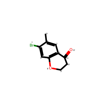 Cc1cc2c(cc1Br)OCCC2=O